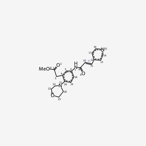 COC(=O)Cc1cc(NC(=O)/C=C/c2ccncc2)ccc1N1CCOCC1